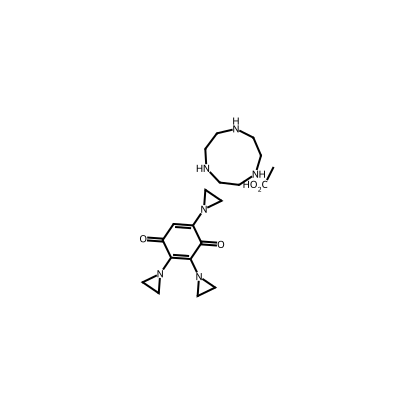 C1CNCCNCCN1.CC(=O)O.O=C1C=C(N2CC2)C(=O)C(N2CC2)=C1N1CC1